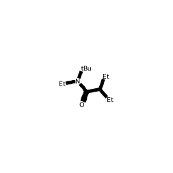 CCC(CC)C(=O)N(CC)C(C)(C)C